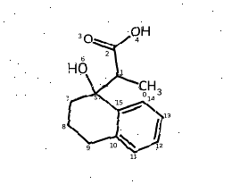 CC(C(=O)O)C1(O)CCCc2ccccc21